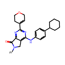 CC(C)N1Cc2c(Nc3ccc(C4CCCCC4)cc3)nc(C3=CCOCC3)nc2C1=O